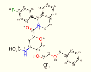 O=C(O)N[C@H]1C[C@H](C(=O)N2CCc3ccccc3[C@@H]2c2ccc(F)cc2)OC[C@@H]1O[C@H](COCc1ccccc1)C(F)(F)F